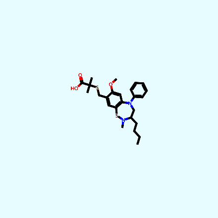 CCCCC1CN(c2ccccc2)c2cc(OC)c(CSC(C)(C)C(=O)O)cc2SN1C